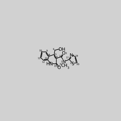 CN(C(=O)c1c(CO)c2ccccc2[nH]c1=O)c1nccs1